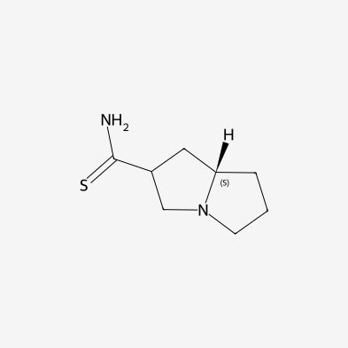 NC(=S)C1C[C@@H]2CCCN2C1